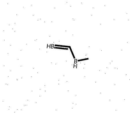 B=CBC